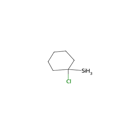 [SiH3]C1(Cl)CCCCC1